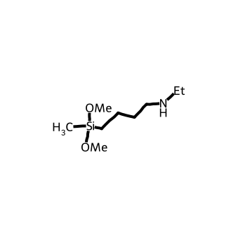 CCNCCCC[Si](C)(OC)OC